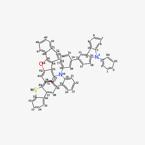 c1ccc(-n2c3ccccc3c3cc(-c4cccc(N(c5ccccc5-c5ccc6sc7ccccc7c6c5)c5cccc6oc7c8ccccc8ccc7c56)c4)ccc32)cc1